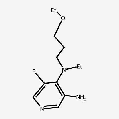 CCOCCCN(CC)c1c(N)cncc1F